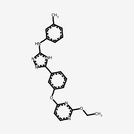 CCOc1nccc(Oc2cccc(-c3nnc(Nc4cccc(C)c4)[nH]3)c2)n1